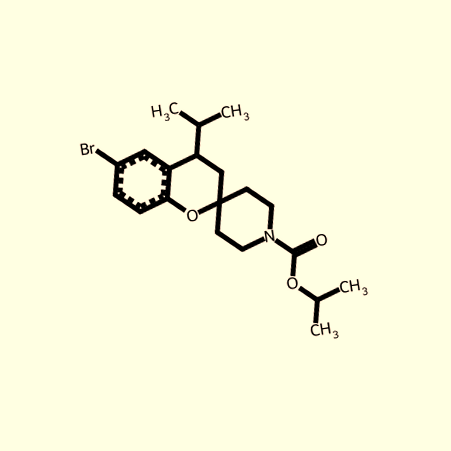 CC(C)OC(=O)N1CCC2(CC1)CC(C(C)C)c1cc(Br)ccc1O2